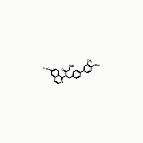 COc1ccc2c(N(Cc3ccc(-c4ccc(OC)c(C)c4)cc3)C(=O)CC(C)(C)C)nccc2c1